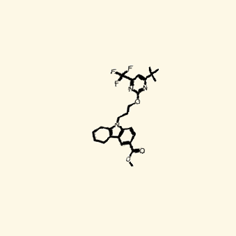 COC(=O)c1ccc2c(c1)c1c(n2CCCOc2nc(C(C)(C)C)cc(C(F)(F)F)n2)CCCC1